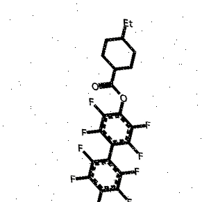 CCCCc1c(F)c(F)c(-c2c(F)c(F)c(OC(=O)C3CCC(CC)CC3)c(F)c2F)c(F)c1F